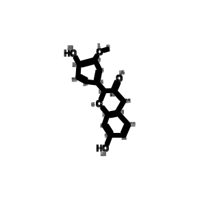 COc1cc(C2Oc3cc(O)ccc3CC2=O)ccc1O